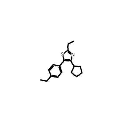 CCc1ccc(-c2sc(CC)nc2C2CCCC2)cc1